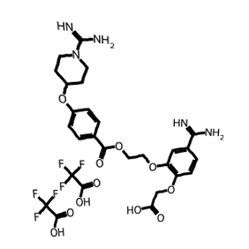 N=C(N)c1ccc(OCC(=O)O)c(OCCOC(=O)c2ccc(OC3CCN(C(=N)N)CC3)cc2)c1.O=C(O)C(F)(F)F.O=C(O)C(F)(F)F